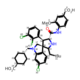 COc1cc(C(=O)O)ccc1NC(=O)[C@@H]1NC(CC(C)(C)C)[C@@]2(CN(C[C@H]3CC[C@H](C(=O)O)CC3)c3cc(Cl)ccc32)[C@H]1c1cccc(Cl)c1F